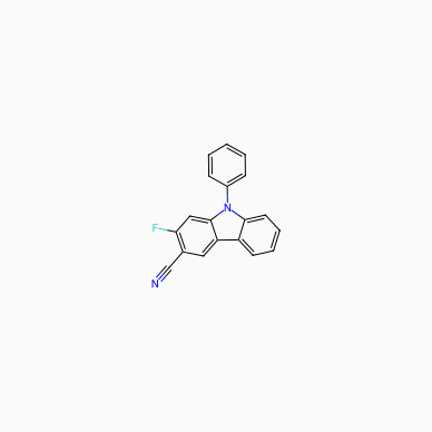 N#Cc1cc2c3ccccc3n(-c3ccccc3)c2cc1F